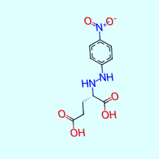 O=C(O)CC[C@H](NNc1ccc([N+](=O)[O-])cc1)C(=O)O